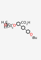 CCO[Si](C)(C)CCCOc1ccc(C(=O)O)c(-c2ccc(-c3ccc(OC[C@@H](C)CC)cc3)cc2)c1